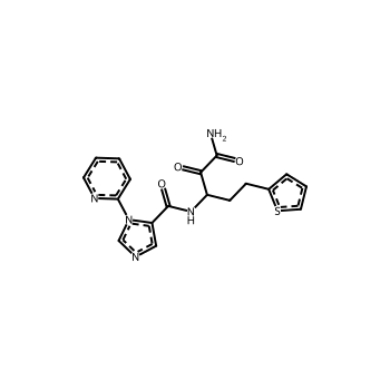 NC(=O)C(=O)C(CCc1cccs1)NC(=O)c1cncn1-c1ccccn1